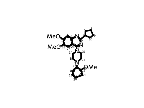 COc1cc2nc(C3CCCC3)nc(N3CCN(c4ccccc4OC)CC3)c2cc1OC